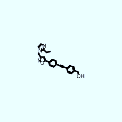 CCc1nccn1Cc1cc(-c2ccc(C#Cc3ccc(CO)cc3)cc2)on1